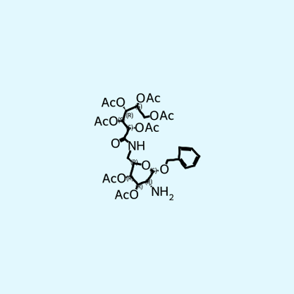 CC(=O)OC[C@H](OC(C)=O)[C@@H](OC(C)=O)[C@H](OC(C)=O)[C@H](OC(C)=O)C(=O)NC[C@H]1O[C@H](OCc2ccccc2)[C@H](N)[C@@H](OC(C)=O)[C@@H]1OC(C)=O